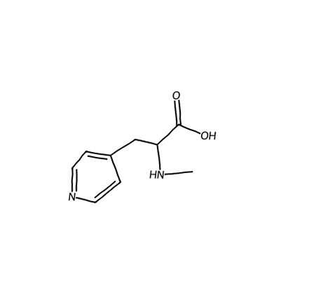 CNC(Cc1ccncc1)C(=O)O